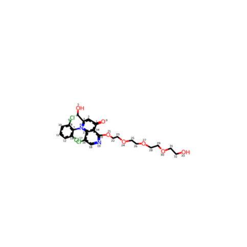 O=c1cc(CO)n(-c2c(Cl)cccc2Cl)c2c(Cl)cnc(OCCOCCOCCOCCO)c12